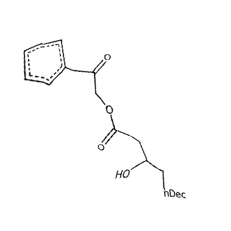 CCCCCCCCCCCC(O)CC(=O)OCC(=O)c1ccccc1